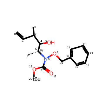 C=CC(C)C(O)[C@@H](C)N(OCc1ccccc1)C(=O)OC(C)(C)C